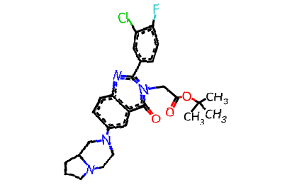 CC(C)(C)OC(=O)Cn1c(-c2ccc(F)c(Cl)c2)nc2ccc(N3CCN4CCCC4C3)cc2c1=O